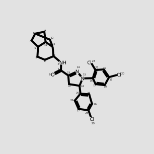 O=C(NC1CCC2CC3CC2C1C3)C1=NN(c2ccc(Cl)cc2Cl)C(c2ccc(Cl)cc2)C1